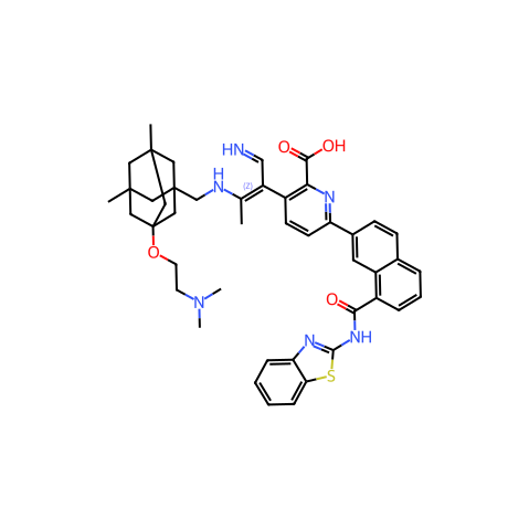 C/C(NCC12CC3(C)CC(C)(C1)CC(OCCN(C)C)(C3)C2)=C(/C=N)c1ccc(-c2ccc3cccc(C(=O)Nc4nc5ccccc5s4)c3c2)nc1C(=O)O